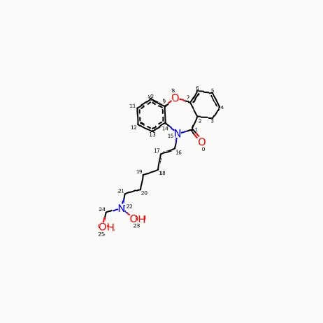 O=C1C2CC=CC=C2Oc2ccccc2N1CCCCCCN(O)CO